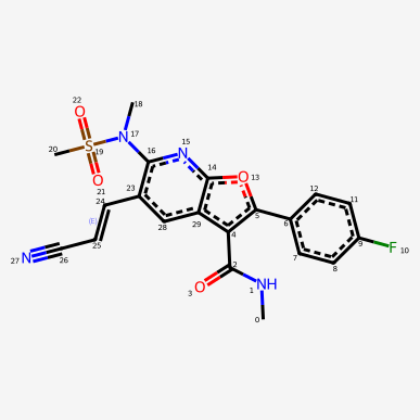 CNC(=O)c1c(-c2ccc(F)cc2)oc2nc(N(C)S(C)(=O)=O)c(/C=C/C#N)cc12